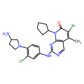 Cc1c(Br)c(=O)n(C2CCCC2)c2nc(Nc3ccc(N4CCC(N)C4)c(Cl)c3)ncc12